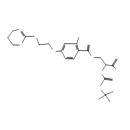 CC(C)(C)OC(=O)NC(CNC(=O)c1ccc(OCCNC2=NCCCN2)cc1O)C(=O)O